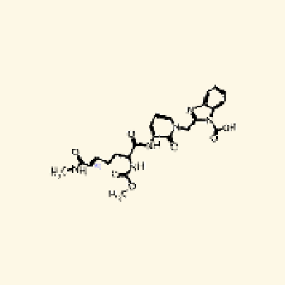 CNC(=O)/C=C/CCC(NC(=O)OC)C(=O)Nc1cccn(Cc2nc3ccccc3n2C(=O)O)c1=O